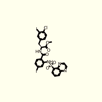 COC(=O)[C@H](Cc1ccc(Cl)c(I)c1)NC(=O)c1ccc(I)cc1NS(=O)(=O)c1cccc2nccnc12